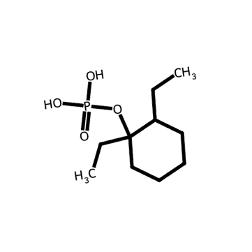 CCC1CCCCC1(CC)OP(=O)(O)O